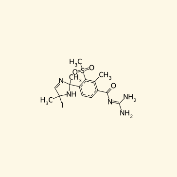 Cc1c(C(=O)N=C(N)N)ccc(C2(C)N=CC(C)(I)N2)c1S(C)(=O)=O